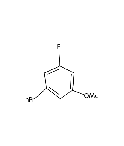 CCCc1cc(F)cc(OC)c1